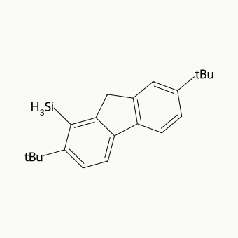 CC(C)(C)c1ccc2c(c1)Cc1c-2ccc(C(C)(C)C)c1[SiH3]